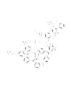 COc1ccc(C(OC[C@H](COS(=O)(=O)c2ccc(C)cc2)Oc2ccc(-c3c(-c4ccc(F)cc4)sc4ncnc(OC(Cc5cc(O[Si](C)(C)C(C)(C)C)ccc5OCc5ccnc(-c6ccccc6OC)n5)C(=O)O)c34)cc2Cl)(c2ccccc2)c2ccc(OC)cc2)cc1